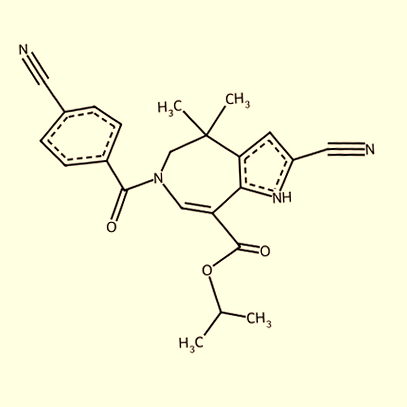 CC(C)OC(=O)C1=CN(C(=O)c2ccc(C#N)cc2)CC(C)(C)c2cc(C#N)[nH]c21